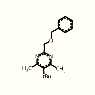 Cc1nc(COCc2ccccc2)nc(C)c1C(C)(C)C